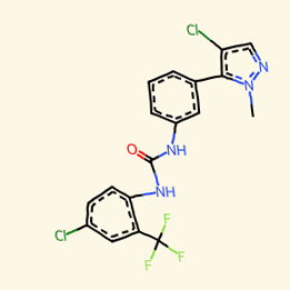 Cn1ncc(Cl)c1-c1cccc(NC(=O)Nc2ccc(Cl)cc2C(F)(F)F)c1